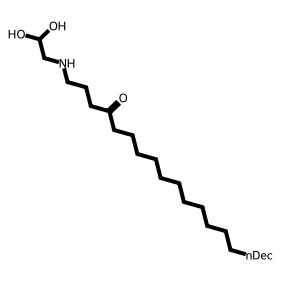 CCCCCCCCCCCCCCCCCCCCCC(=O)CCCNCC(O)O